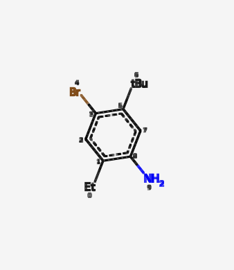 CCc1cc(Br)c(C(C)(C)C)cc1N